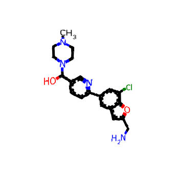 CN1CCN(C(O)c2ccc(-c3cc(Cl)c4oc(CN)cc4c3)nc2)CC1